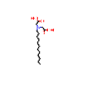 CCCCCCCCCCCCN(CC(=O)O)CC(=O)O